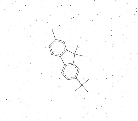 CC(C)(C)c1ccc2c(c1)C(C)(C)c1cc(I)ccc1-2